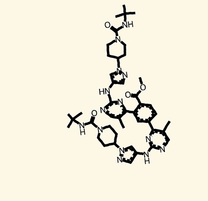 COC(=O)c1ccc(-c2nc(Nc3cnn(C4CCN(C(=O)NC(C)(C)C)CC4)c3)ncc2C)cc1-c1nc(Nc2cnn(C3CCN(C(=O)NC(C)(C)C)CC3)c2)ncc1C